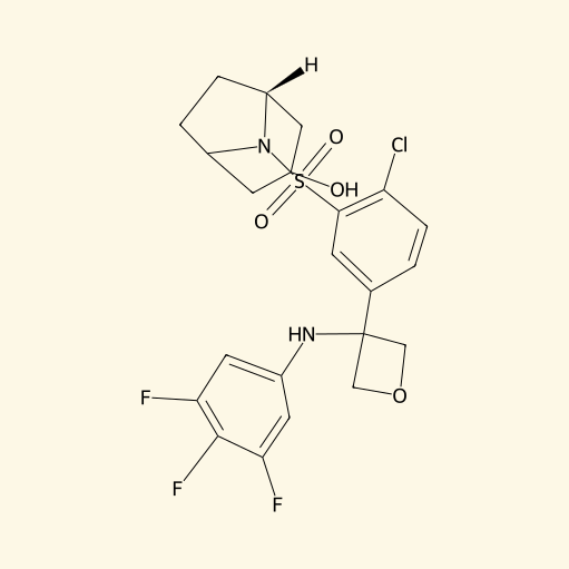 O=S(=O)(c1cc(C2(Nc3cc(F)c(F)c(F)c3)COC2)ccc1Cl)N1C2CC[C@@H]1CC(O)C2